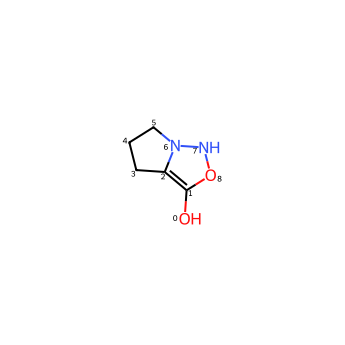 OC1=C2CCCN2NO1